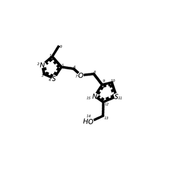 Cc1ncsc1COCc1csc(CO)n1